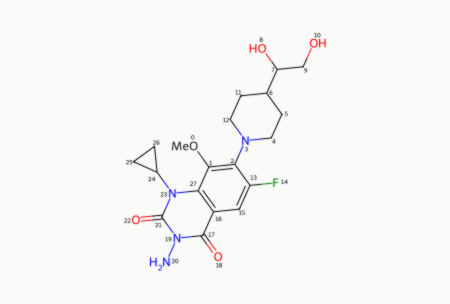 COc1c(N2CCC(C(O)CO)CC2)c(F)cc2c(=O)n(N)c(=O)n(C3CC3)c12